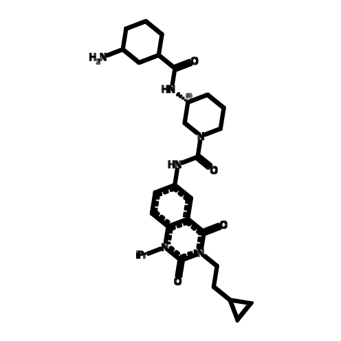 CC(C)n1c(=O)n(CCC2CC2)c(=O)c2cc(NC(=O)N3CCC[C@@H](NC(=O)C4CCCC(N)C4)C3)ccc21